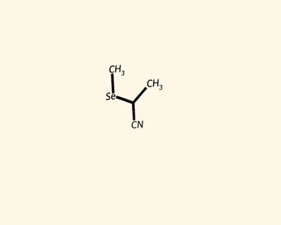 C[Se]C(C)C#N